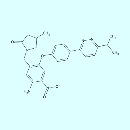 CC1CC(=O)N(Cc2cc(N)c([N+](=O)[O-])cc2Oc2ccc(-c3ccc(C(C)C)nn3)cc2)C1